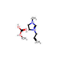 C=CC[N+]1=CN(C)CC1.COC(=O)[O-]